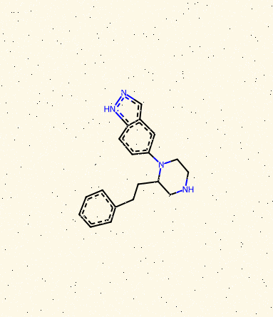 c1ccc(CCC2CNCCN2c2ccc3[nH]ncc3c2)cc1